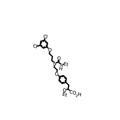 CCNC(=O)N(CCCOc1cc(Cl)cc(Cl)c1)CCOc1ccc(CC(OCC)C(=O)O)cc1